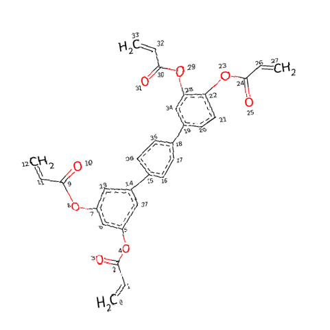 C=CC(=O)Oc1cc(OC(=O)C=C)cc(-c2ccc(-c3ccc(OC(=O)C=C)c(OC(=O)C=C)c3)cc2)c1